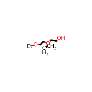 C=C.CCOCCOCCO